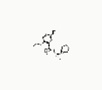 CCCc1ccc(F)cc1[C@H](CC[C@@H](C)N1CCCC1)OC